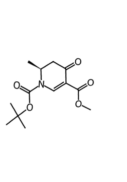 COC(=O)C1=CN(C(=O)OC(C)(C)C)[C@@H](C)CC1=O